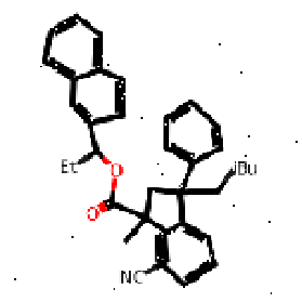 CCC(C)CC(CC(C)(CCC#N)C(=O)OC(CC)c1ccc2ccccc2c1)(c1ccccc1)c1ccccc1